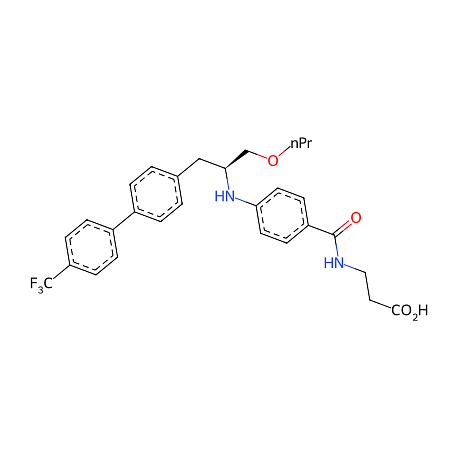 CCCOC[C@H](Cc1ccc(-c2ccc(C(F)(F)F)cc2)cc1)Nc1ccc(C(=O)NCCC(=O)O)cc1